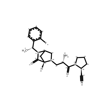 C[C@H](c1ccccc1F)N1C(=O)[C@@H]2CC1CN2C[C@H](N)C(=O)N1CCC[C@H]1C#N